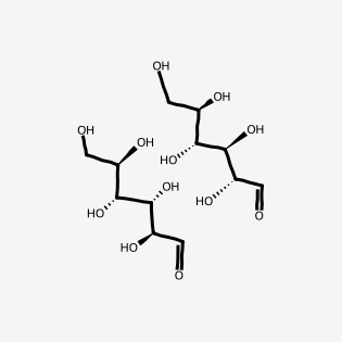 O=C[C@@H](O)[C@@H](O)[C@H](O)[C@H](O)CO.O=C[C@H](O)[C@H](O)[C@H](O)[C@H](O)CO